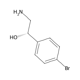 NC[C@@H](O)c1ccc(Br)cc1